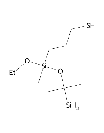 CCO[Si](C)(CCCS)OC(C)(C)[SiH3]